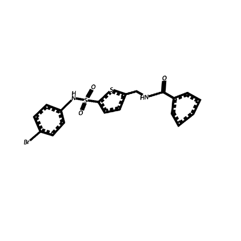 O=C(NCc1ccc(S(=O)(=O)Nc2ccc(Br)cc2)s1)c1ccccc1